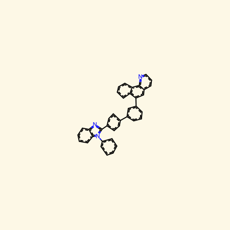 c1ccc(-n2c(-c3ccc(-c4cccc(-c5cc6cccnc6c6ccccc56)c4)cc3)nc3ccccc32)cc1